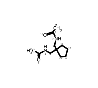 CC(=O)NCC1(CNC(C)=O)CCCC1